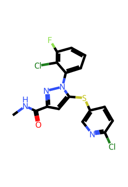 CNC(=O)c1cc(Sc2ccc(Cl)nc2)n(-c2cccc(F)c2Cl)n1